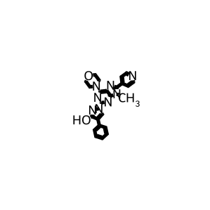 Cn1c(-c2ccncc2)nc2c(N3CCOCC3)nc(-n3cc(-c4ccccc4)c(O)n3)nc21